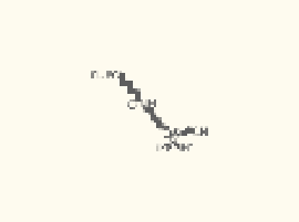 CCCCCCCCCCCCCCCC(=O)NCCCCCCOP(OCCC#N)N(C(C)C)C(C)C